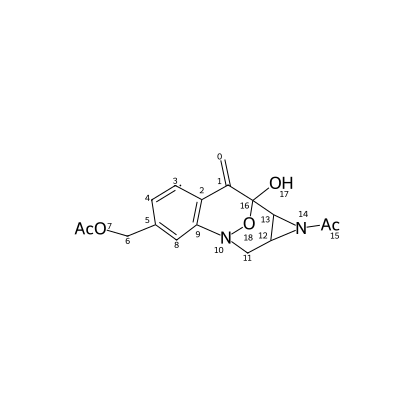 C=C1c2[c]cc(COC(C)=O)cc2N2CC3C(N3C(C)=O)C1(O)O2